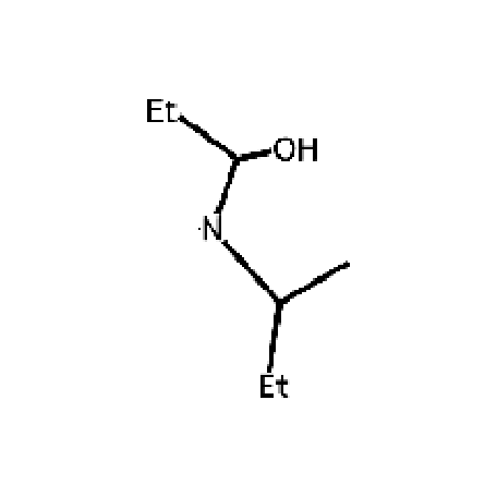 CCC(C)[N]C(O)CC